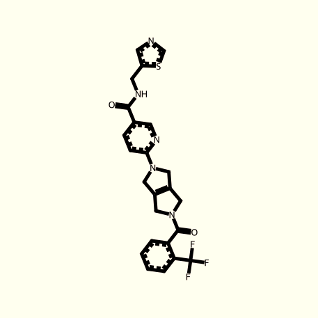 O=C(NCc1cncs1)c1ccc(N2CC3=C(CN(C(=O)c4ccccc4C(F)(F)F)C3)C2)nc1